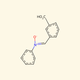 O=C(O)c1cccc(C=[N+]([O-])c2ccccc2)c1